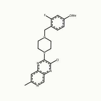 COc1ccc(CN2CCN(c3nc4cc(C)ncc4nc3Cl)CC2)c(F)c1